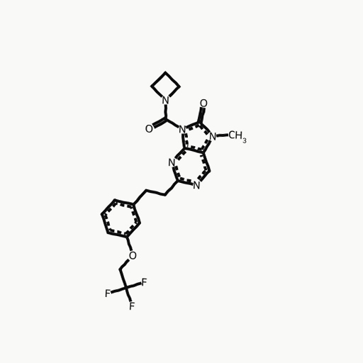 Cn1c(=O)n(C(=O)N2CCC2)c2nc(CCc3cccc(OCC(F)(F)F)c3)ncc21